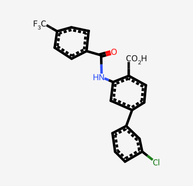 O=C(Nc1cc(-c2cccc(Cl)c2)ccc1C(=O)O)c1ccc(C(F)(F)F)cc1